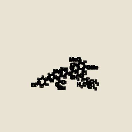 CCN1CCC(n2cc(N)c(N(C(=O)OC(C)(C)C)c3cc(N(C)C(=O)N(COCC[Si](C)(C)C)c4c(Cl)c(OC)cc(OC)c4Cl)ncn3)n2)CC1